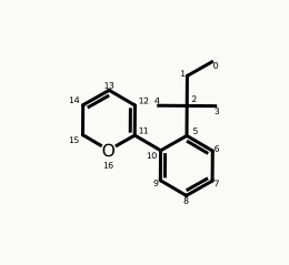 CCC(C)(C)c1ccccc1C1=CC=CCO1